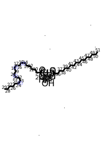 [2H]C([2H])(O)[C@]([2H])(OC(=O)CCCCC/C=C\C/C=C\C/C=C\C/C=C\CCCCC)C([2H])([2H])OC(=O)CCCCCCCCCCCCCCCC